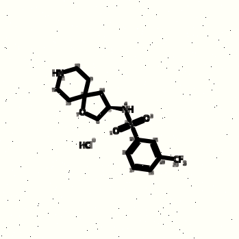 Cl.O=S(=O)(N[C@H]1COC2(CCNCC2)C1)c1cccc(C(F)(F)F)c1